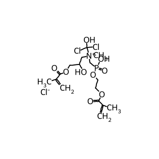 C=C(C)C(=O)OCCOP(=O)(O)C[N+](C)(CC(O)COC(=O)C(=C)C)C(O)(Cl)Cl.[Cl-]